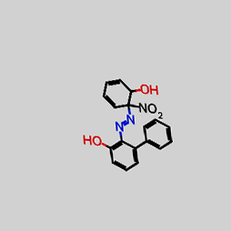 O=[N+]([O-])C1(N=Nc2c(O)cccc2-c2ccccc2)C=CC=CC1O